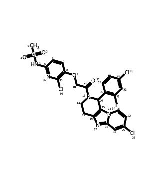 CS(=O)(=O)Nc1ccc(OCC(=O)N2CCc3nc4cc(Cl)ccn4c3C2c2ccc(Cl)cc2F)c(Cl)n1